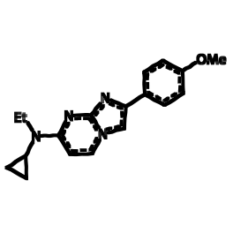 CCN(c1ccn2cc(-c3ccc(OC)cc3)nc2n1)C1CC1